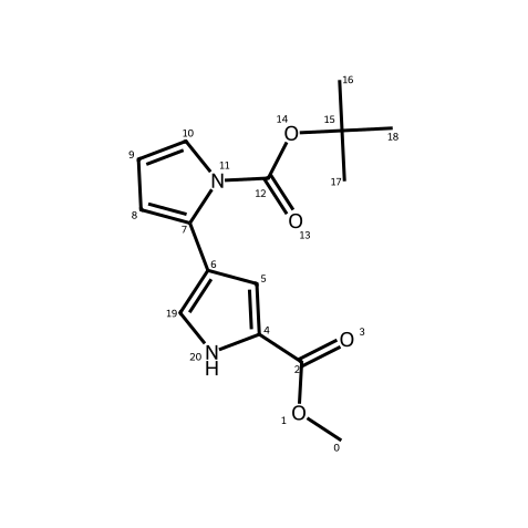 COC(=O)c1cc(-c2cccn2C(=O)OC(C)(C)C)c[nH]1